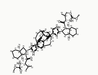 COC(=O)N[C@H](C(=O)N1[C@H](c2nc(C#Cc3cc4ccc3CCc3ccc(c(C#Cc5c[nH]c([C@@H]6C[C@@H]7CCCC[C@@H]7N6C(=O)[C@@H](NC(=O)OC)C(C)C)n5)c3)CC4)c[nH]2)C[C@@H]2CCCC[C@@H]21)C(C)C